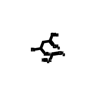 C=C(CC(CC)CCCC)OC(C)=O.C=CC(=O)O